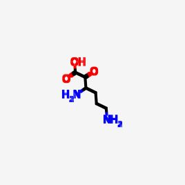 NCCCC(N)C(=O)C(=O)O